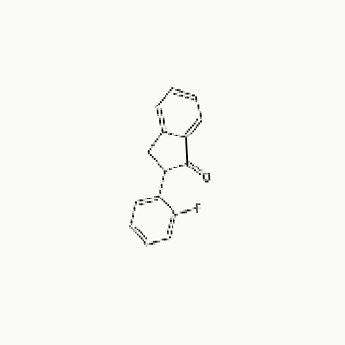 O=C1c2ccccc2CC1c1ccccc1F